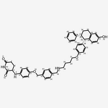 O=C1CCC(Nc2ccc(OCc3ccc(CNCCCCOc4ccc([C@H]5c6ccc(O)cc6CC[C@H]5c5ccccc5)cc4)cc3)cc2)C(=O)N1